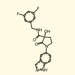 O=C(NCc1cc(F)cc(F)c1)[C@]1(O)CCN(c2ccc3[nH]ncc3c2)C1=O